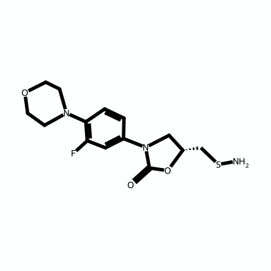 NSC[C@H]1CN(c2ccc(N3CCOCC3)c(F)c2)C(=O)O1